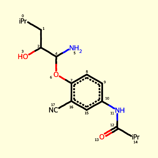 CC(C)CC(O)C(N)Oc1ccc(NC(=O)C(C)C)cc1C#N